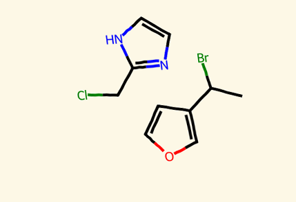 CC(Br)c1ccoc1.ClCc1ncc[nH]1